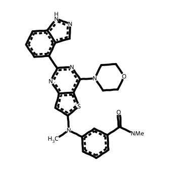 CNC(=O)c1cccc(N(C)c2cc3nc(-c4cccc5[nH]ncc45)nc(N4CCOCC4)c3s2)c1